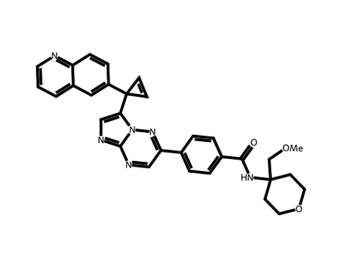 COCC1(NC(=O)c2ccc(-c3cnc4ncc(C5(c6ccc7ncccc7c6)C=C5)n4n3)cc2)CCOCC1